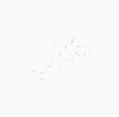 C=C/C(=C\C=C(/C)O/C(C=C)=C/C=C(\C)C(=O)C(/C=C\C(=C)C)=C/C)OC